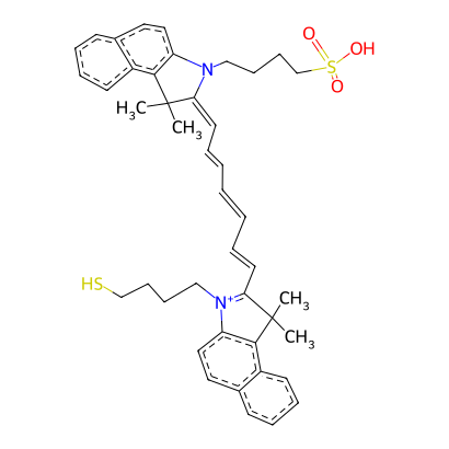 CC1(C)C(/C=C/C=C/C=C/C=C2/N(CCCCS(=O)(=O)O)c3ccc4ccccc4c3C2(C)C)=[N+](CCCCS)c2ccc3ccccc3c21